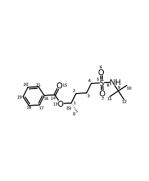 C[C@@H](CCCS(=O)(=O)NC(C)(C)C)OC(=O)c1ccccc1